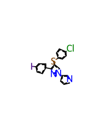 Clc1ccc(Sc2cn(-c3cccnc3)nc2-c2ccc(I)cc2)cc1